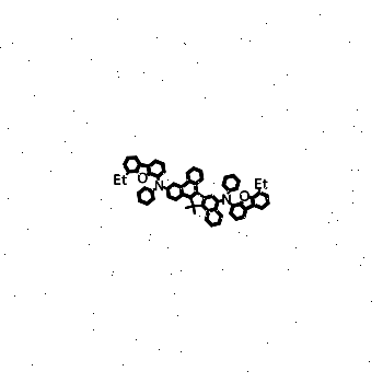 CCc1cccc2c1oc1c(N(c3ccccc3)c3ccc4c5c(c6ccccc6c4c3)-c3cc(N(c4ccccc4)c4cccc6c4oc4c(CC)cccc46)c4ccccc4c3C5(C)C)cccc12